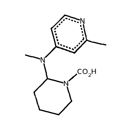 Cc1cc(N(C)C2CCCCN2C(=O)O)ccn1